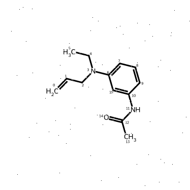 C=CCN(CC)c1cccc(NC(C)=O)c1